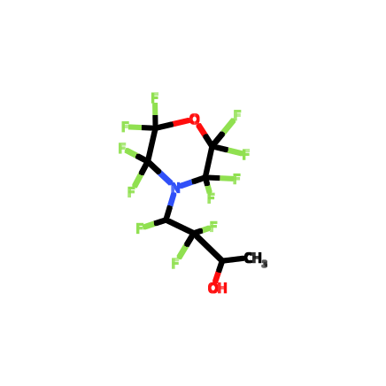 CC(O)C(F)(F)C(F)N1C(F)(F)C(F)(F)OC(F)(F)C1(F)F